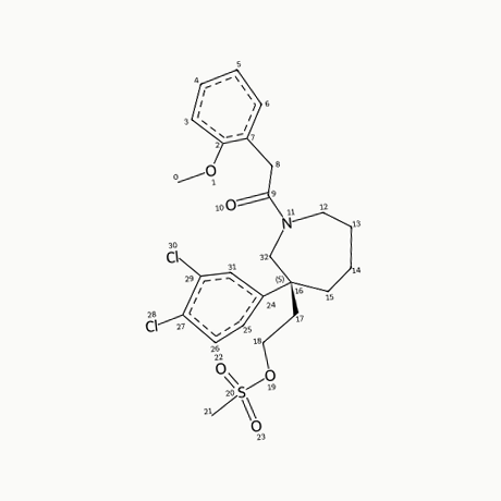 COc1ccccc1CC(=O)N1CCCC[C@](CCOS(C)(=O)=O)(c2ccc(Cl)c(Cl)c2)C1